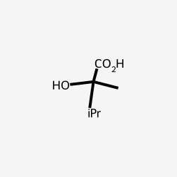 CC(C)C(C)(O)C(=O)O